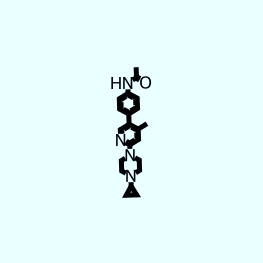 CC(=O)Nc1ccc(-c2cnc(N3CCN(C4CC4)CC3)cc2C)cc1